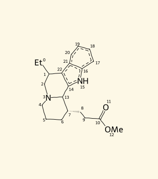 CCC1CN2CCC[C@@H](CCC(=O)OC)C2c2[nH]c3ccccc3c21